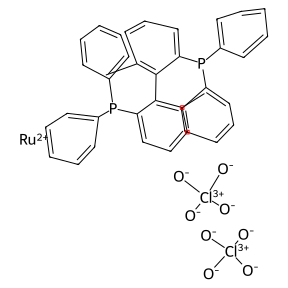 Cc1cccc(P(c2ccccc2)c2ccccc2)c1-c1c(C)cccc1P(c1ccccc1)c1ccccc1.[O-][Cl+3]([O-])([O-])[O-].[O-][Cl+3]([O-])([O-])[O-].[Ru+2]